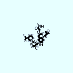 CNC(=O)COC1=Cc2cc(Nc3nc(N4CCC[C@H](C(C)C)C4)ncc3Cl)ccc2N(CC2COC2)C1